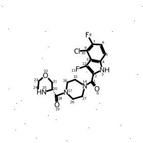 O=C(c1[nH]c2ccc(F)c(Cl)c2c1F)N1CCN(C(=O)[C@H]2COCCN2)CC1